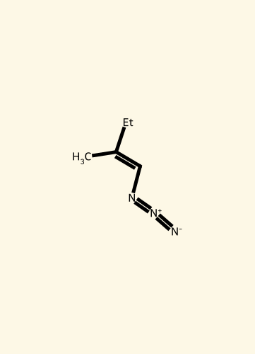 CCC(C)=CN=[N+]=[N-]